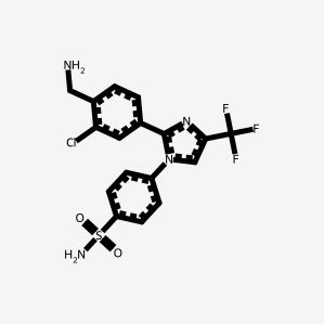 NCc1ccc(-c2nc(C(F)(F)F)cn2-c2ccc(S(N)(=O)=O)cc2)cc1Cl